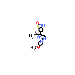 COC1CCN(c2nccc3c(-c4ccc5[nH]c(=O)sc5c4)c(C(C)C)nn23)CC1